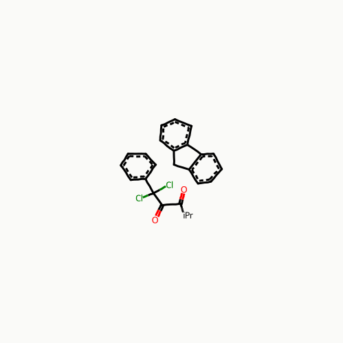 CC(C)C(=O)C(=O)C(Cl)(Cl)c1ccccc1.c1ccc2c(c1)Cc1ccccc1-2